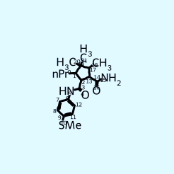 CCCC1C(C(=O)Nc2ccc(SC)cc2)C(C(N)=O)C(C)C1(C)C